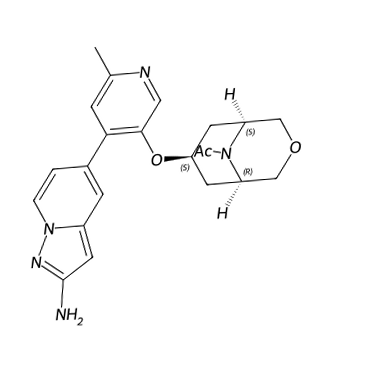 CC(=O)N1[C@@H]2COC[C@H]1C[C@@H](Oc1cnc(C)cc1-c1ccn3nc(N)cc3c1)C2